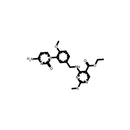 CCOC(=O)c1cnc(SC)nc1NCc1ccc(OC)c(-n2ccc(N)nc2=O)c1